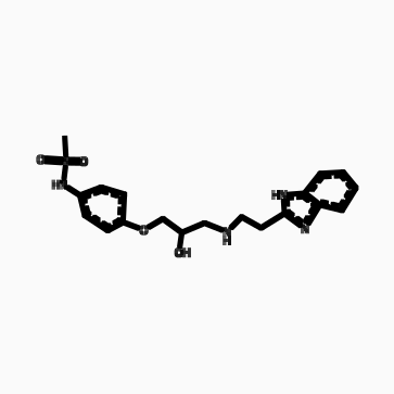 CS(=O)(=O)Nc1ccc(OCC(O)CNCCc2nc3ccccc3[nH]2)cc1